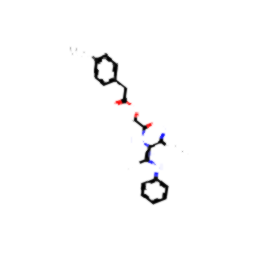 COc1ccc(CC(=O)OCC(=O)N/C(C(C)=N)=C(\C)Nc2ccccc2)cc1